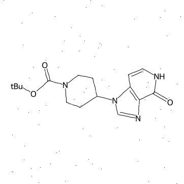 CC(C)(C)OC(=O)N1CCC(n2cnc3c(=O)[nH]ccc32)CC1